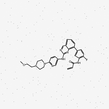 C=CC(=O)Nc1cc(-c2cccc3cnc(Nc4ccc(N5CCN(CCOC)CC5)nc4)nc23)ccc1F